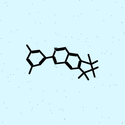 Cc1cc(C)cc(-c2cc3cc4c(cc3cn2)C(C)(C)C(C)(C)C4(C)C)c1